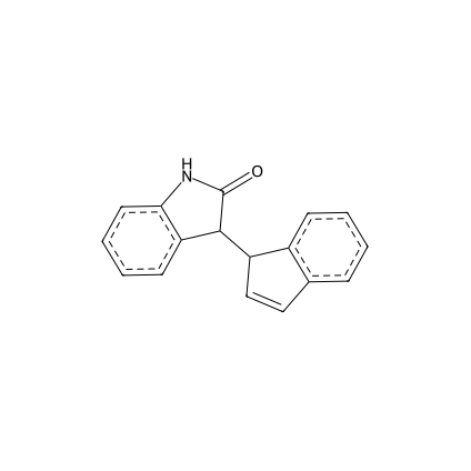 O=C1Nc2ccccc2C1C1C=Cc2ccccc21